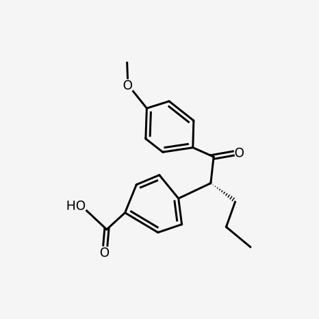 CCC[C@@H](C(=O)c1ccc(OC)cc1)c1ccc(C(=O)O)cc1